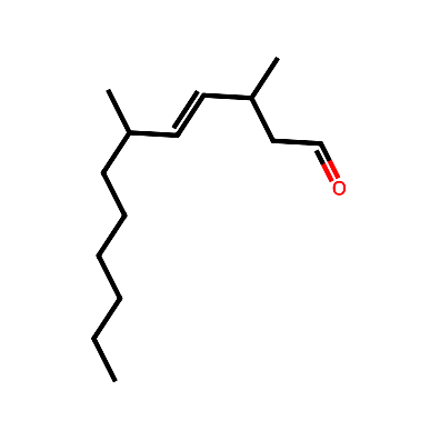 CCCCCCC(C)C=CC(C)CC=O